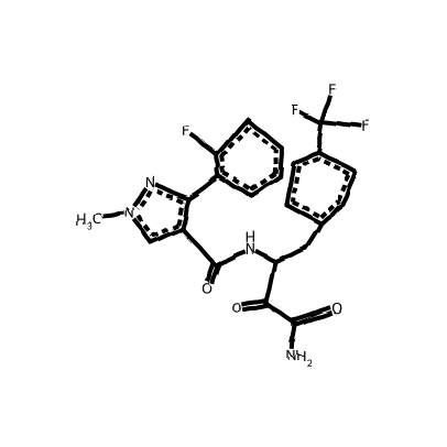 Cn1cc(C(=O)NC(Cc2ccc(C(F)(F)F)cc2)C(=O)C(N)=O)c(-c2ccccc2F)n1